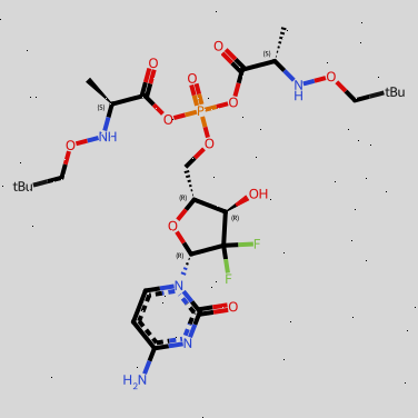 C[C@H](NOCC(C)(C)C)C(=O)OP(=O)(OC[C@H]1O[C@@H](n2ccc(N)nc2=O)C(F)(F)[C@@H]1O)OC(=O)[C@H](C)NOCC(C)(C)C